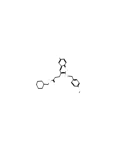 COc1ccc(CNc2nc3ccc(Br)cc3cc2CCC(=O)NCC2CCCCC2)cc1